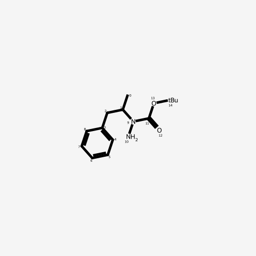 CC(Cc1ccccc1)N(N)C(=O)OC(C)(C)C